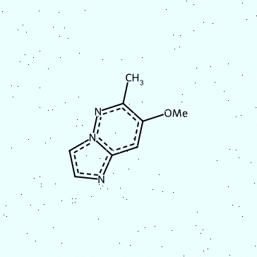 COc1cc2nccn2nc1C